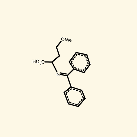 COCCC(N=C(c1ccccc1)c1ccccc1)C(=O)O